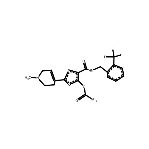 CN1CC=C(c2nc(C(=O)NCc3ccccc3C(F)(F)F)c(OC(N)=O)s2)CC1